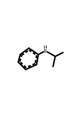 CC(C)Bc1ccccc1